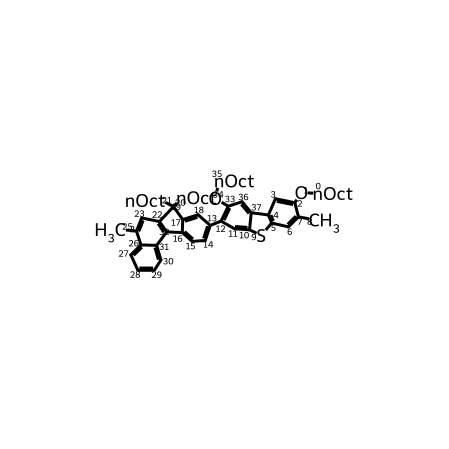 CCCCCCCCOc1cc2c(cc1C)sc1cc(-c3ccc4c(c3)C(CCCCCCCC)(CCCCCCCC)c3cc(C)c5ccccc5c3-4)c(OCCCCCCCC)cc12